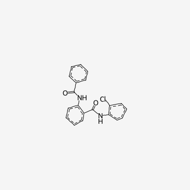 O=C(Nc1ccccc1C(=O)Nc1ccccc1Cl)c1ccccc1